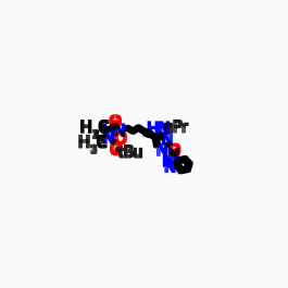 CCCNc1nc(On2nnc3ccccc32)ncc1C#CCCCNC(=O)[C@H](C)N(C)C(=O)OC(C)(C)C